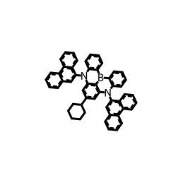 c1ccc2c(c1)B1c3ccccc3N(c3cc4ccccc4c4ccccc34)c3cc(C4CCCCC4)cc(c31)N2c1cc2ccccc2c2ccccc12